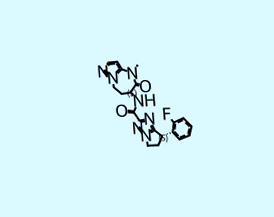 CN1C(=O)[C@@H](NC(=O)c2nc3n(n2)CC[C@H]3c2ccccc2F)CCn2nccc21